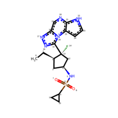 CC[C@@H]1C[C@H](NS(=O)(=O)C2CC2)C[C@]1(F)c1nnc2cnc3[nH]ccc3n12